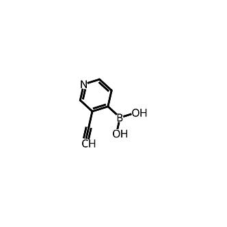 C#Cc1cnccc1B(O)O